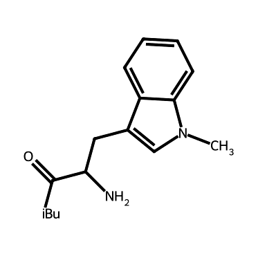 CCC(C)C(=O)C(N)Cc1cn(C)c2ccccc12